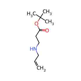 C=CCNCCC(=O)OC(C)(C)C